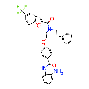 Nc1ccccc1NC(=O)c1ccc(OCCN(CCc2ccccc2)C(=O)c2cc3cc(C(F)(F)F)ccc3o2)cc1